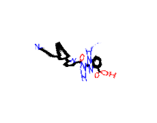 N#CCc1cccc(-c2cccc(C(=O)Nc3nc4c(C(=O)O)cccc4[nH]3)n2)c1